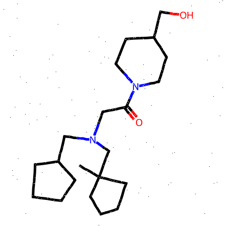 CC1(CN(CC(=O)N2CCC(CO)CC2)CC2CCCC2)CCCC1